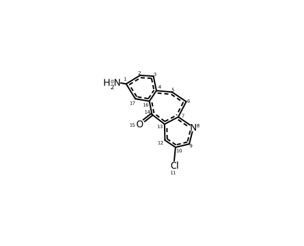 Nc1ccc2ccc3ncc(Cl)cc3c(=O)c2c1